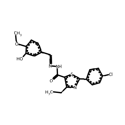 CCc1nc(-c2ccc(Cl)cc2)sc1C(=O)N/N=C/c1ccc(OC)c(O)c1